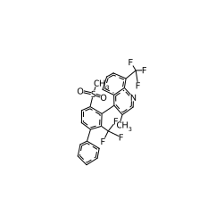 Cc1cnc2c(C(F)(F)F)cccc2c1-c1c(S(C)(=O)=O)ccc(-c2ccccc2)c1C(F)(F)F